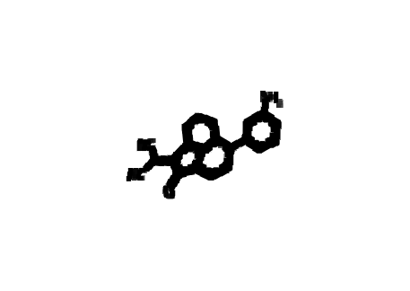 N#CC(C#N)=c1c(=O)c2ccc(-c3cccc(N)c3)c3cccc1c32